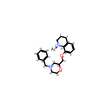 CC(=O)N1CCCc2cccc(OCC3CN(Cc4ccccc4)CCO3)c21